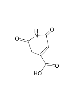 O=C1C=C(C(=O)O)CC(=O)N1